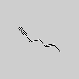 C#C[CH]CC=CC